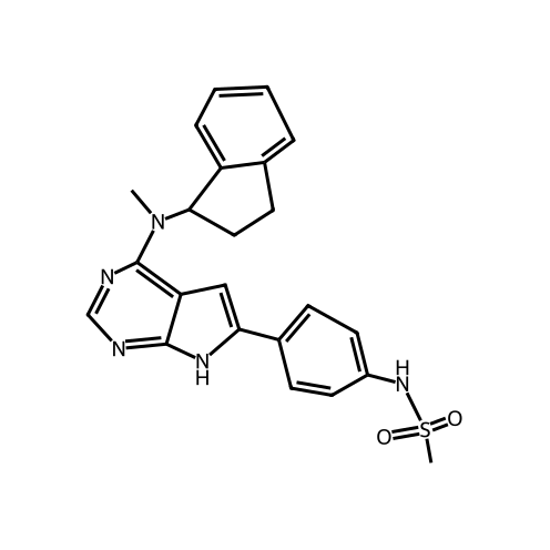 CN(c1ncnc2[nH]c(-c3ccc(NS(C)(=O)=O)cc3)cc12)C1CCc2ccccc21